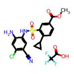 COC(=O)c1ccc(C2CC2)c(S(=O)(=O)Nc2cc(C#N)c(Cl)cc2N)c1.O=C(O)C(F)(F)F